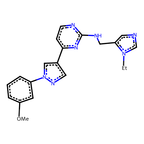 CCn1cncc1CNc1nccc(-c2cnn(-c3cccc(OC)c3)c2)n1